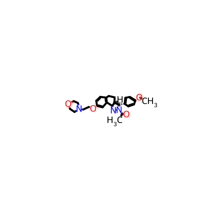 COc1ccc([C@H]2[C@H]3CCc4ccc(OCCN5CCOCC5)cc4C3=NN2C(C)=O)cc1